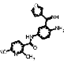 Cc1nc(C#N)ccc1C(=O)Nc1ccc(N)c(C(=N)c2ccoc2)c1